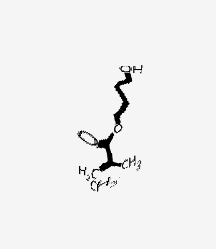 C=C(C)C(=O)OCCCCO.[CH3]